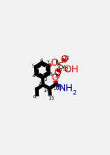 CCC(c1cccc(OS(=O)(=O)O)c1)C(C)C(N)=O